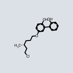 C[C@@H](CCCl)CCCOc1ccc(O)c(-c2ccccc2O)c1